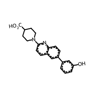 O=C(O)C1CCN(c2ccc3cc(-c4cccc(O)c4)ccc3n2)CC1